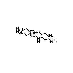 NCCCNCCCN.NCCCNCCNCCCN